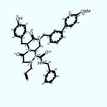 C=CCN1CC(=O)N2C(Cc3ccc(O)cc3)C(=O)N(Cc3cccc(-c4ccc(OC)nc4)c3)CC2N1C(=O)NCc1ccccc1